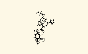 COCCN1[C@@H](c2cccs2)C[C@@H](C(=O)Nc2ccc(F)c(Cl)c2)NS1(=O)=O